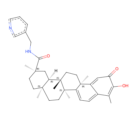 CC1=C(O)C(=O)C=C2C1=CC=C1[C@@]2(C)CC[C@@]2(C)[C@@H]3C[C@](C)(C(=O)NCc4cccnc4)CC[C@]3(C)CC[C@]12C